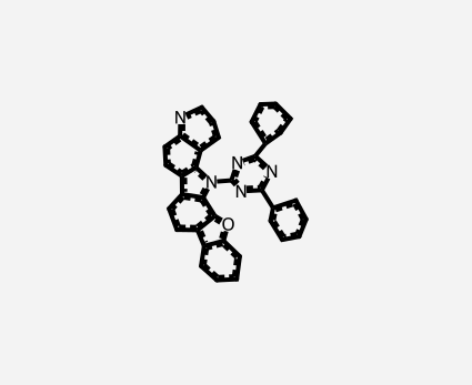 c1ccc(-c2nc(-c3ccccc3)nc(-n3c4c5cccnc5ccc4c4ccc5c6ccccc6oc5c43)n2)cc1